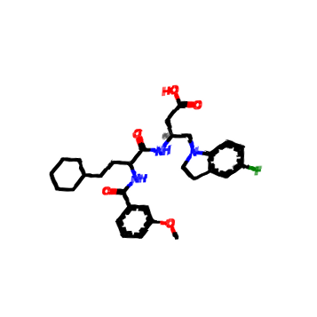 COc1cccc(C(=O)NC(CCC2CCCCC2)C(=O)N[C@@H](CC(=O)O)CN2CCc3cc(F)ccc32)c1